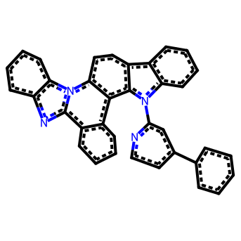 c1ccc(-c2ccnc(-n3c4ccccc4c4ccc5c(c6ccccc6c6nc7ccccc7n56)c43)c2)cc1